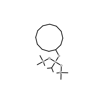 CC(C)[Si](OC1CCCCCCCCCCC1)(O[Si](C)(C)C)O[Si](C)(C)C